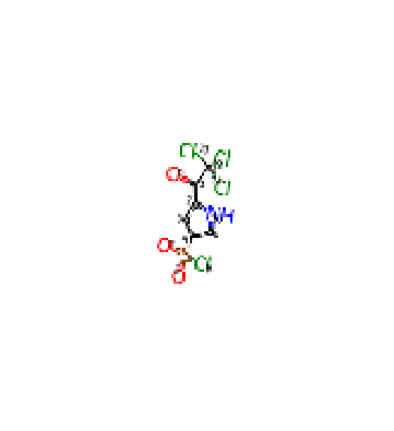 O=C(c1cc(S(=O)(=O)Cl)c[nH]1)C(Cl)(Cl)Cl